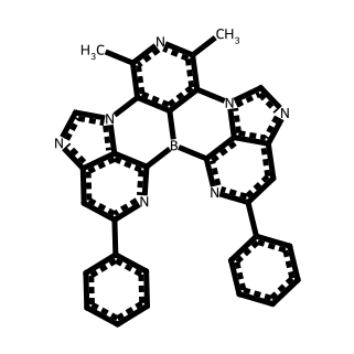 Cc1nc(C)c2c3c1-n1cnc4cc(-c5ccccc5)nc(c41)B3c1nc(-c3ccccc3)cc3ncn-2c13